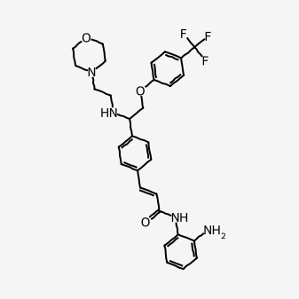 Nc1ccccc1NC(=O)/C=C/c1ccc(C(COc2ccc(C(F)(F)F)cc2)NCCN2CCOCC2)cc1